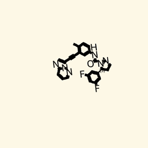 Cc1ccc(NC(=O)N2N=CC[C@H]2c2cc(F)cc(F)c2)cc1C#Cc1cnc2cccnn12